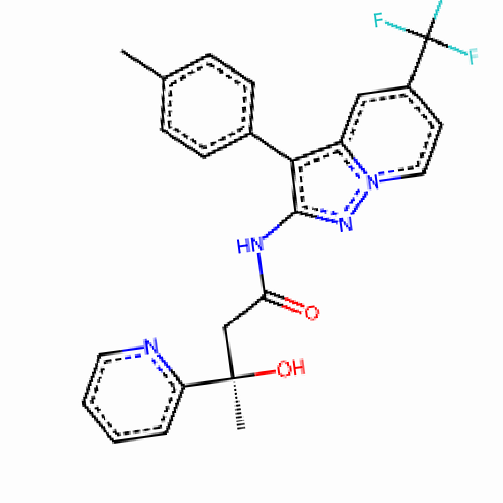 Cc1ccc(-c2c(NC(=O)C[C@@](C)(O)c3ccccn3)nn3ccc(C(F)(F)F)cc23)cc1